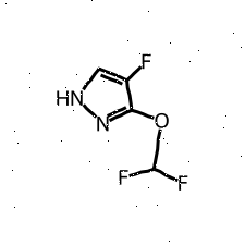 Fc1c[nH]nc1OC(F)F